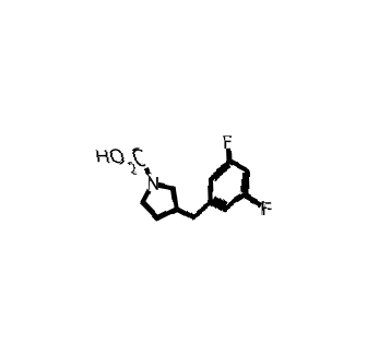 O=C(O)N1CCC(Cc2cc(F)cc(F)c2)C1